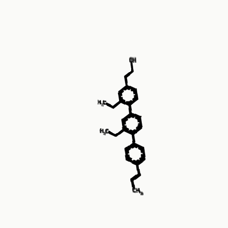 CCCc1ccc(-c2ccc(-c3ccc(CCO)cc3CC)cc2CC)cc1